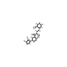 Cc1ncn(-c2ccc(F)c(NC(=O)C=Cc3ccccc3Cl)c2)c1C